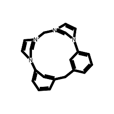 c1cc2cc(c1)-n1cc[n+](c1)C[n+]1ccn(c1)-c1cccc(c1)C2